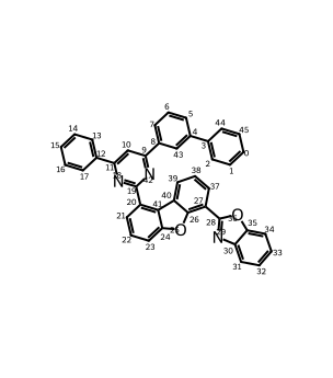 c1ccc(-c2cccc(-c3cc(-c4ccccc4)nc(-c4cccc5oc6c(-c7nc8ccccc8o7)cccc6c45)n3)c2)cc1